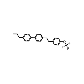 CCCc1ccc(-c2ccc(CCc3ccc(OC(F)(F)F)cc3)cc2)cc1